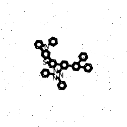 c1ccc(-c2nc(-c3ccccc3)nc(-c3cc(-c4ccc(-c5ccccc5)c(-c5ccccc5)c4)ccc3-c3ccc4sc5cc6c7ccccc7n(-c7ccccc7)c6cc5c4c3)n2)cc1